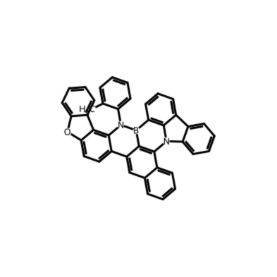 Cc1ccccc1N1B2c3c(cc4ccccc4c3-n3c4ccccc4c4cccc2c43)-c2ccc3oc4ccccc4c3c21